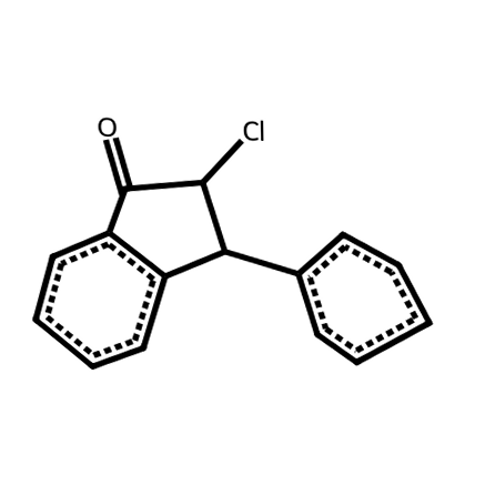 O=C1c2ccccc2C(c2ccccc2)C1Cl